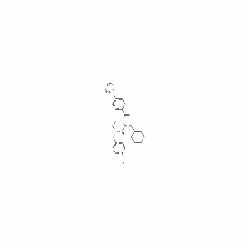 CCN(Nc1ccc(OC)cc1)C(=O)C(CC1CCCCC1)NC(=O)c1ccc(-n2cncn2)cc1